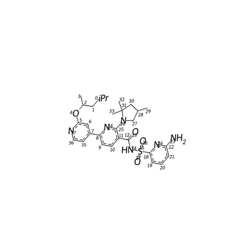 CC(C)CC(C)Oc1cc(-c2ccc(C(=O)NS(=O)(=O)c3cccc(N)n3)c(N3CC(C)CC3(C)C)n2)ccn1